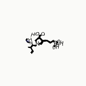 C/C=C\NC(CN1CC(CCCB(O)O)C(C(=O)O)C1)C(C)CC